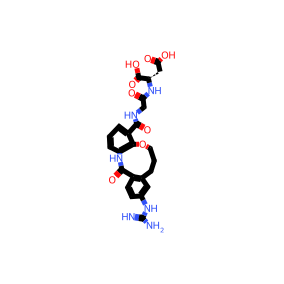 N=C(N)Nc1ccc2c(c1)CCCOc1c(cccc1C(=O)NCC(=O)N[C@@H](CC(=O)O)C(=O)O)NC2=O